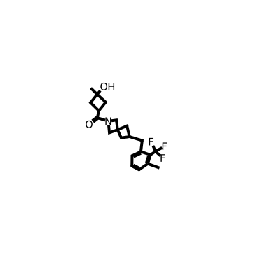 Cc1cccc(CC2CC3(C2)CN(C(=O)C2CC(C)(O)C2)C3)c1C(F)(F)F